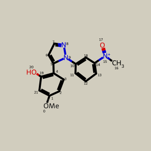 COc1ccc(-c2ccnn2-c2cccc([N+](C)=O)c2)c(O)c1